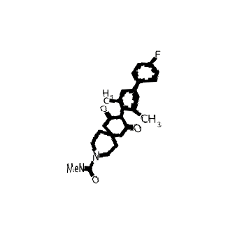 CNC(=O)N1CCC2(CC1)CC(=O)C(c1c(C)cc(-c3ccc(F)cc3)cc1C)C(=O)C2